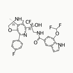 C[C@@]1(N)COc2c1cc([C@](O)(CNC(=O)c1cc(OC(F)F)c3[nH]ccc3c1)C(F)(F)F)nc2-c1ccc(F)cc1